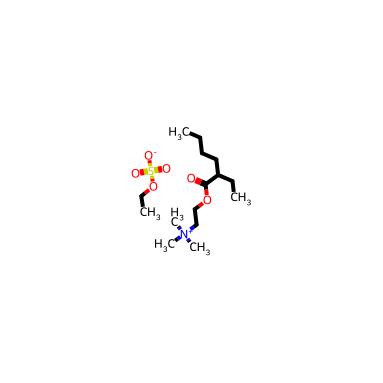 CCCCC(CC)C(=O)OCC[N+](C)(C)C.CCOS(=O)(=O)[O-]